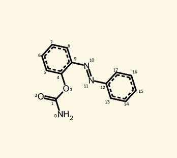 NC(=O)Oc1ccccc1N=Nc1ccccc1